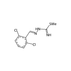 CSC(=N)NN=Cc1c(Cl)cccc1Cl